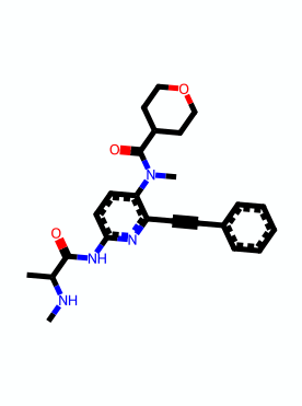 CNC(C)C(=O)Nc1ccc(N(C)C(=O)C2CCOCC2)c(C#Cc2ccccc2)n1